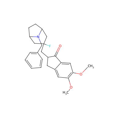 COc1cc2c(cc1OC)C(=O)C(CC1(F)CC3CCC(C1)N3Cc1ccccc1)C2